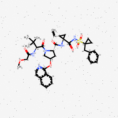 C=C[C@@H]1C[C@]1(NC(=O)[C@@H]1C[C@@H](Oc2nccc3ccccc23)CN1C(=O)[C@@H](NC(=O)COC)C(C)(C)C)C(=O)NS(=O)(=O)C1(Cc2ccccc2)CC1